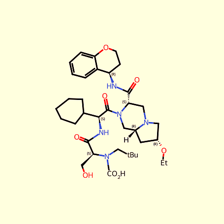 CCO[C@@H]1C[C@@H]2CN(C(=O)[C@@H](NC(=O)[C@H](CO)N(CC(C)(C)C)C(=O)O)C3CCCCC3)[C@H](C(=O)N[C@@H]3CCOc4ccccc43)CN2C1